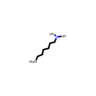 CCCN(CCC)CCCCCCNC